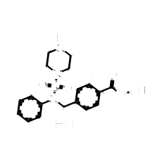 COC(=O)c1ccc(CN(c2ccccc2)S(=O)(=O)N2CCNCC2)cc1.Cl